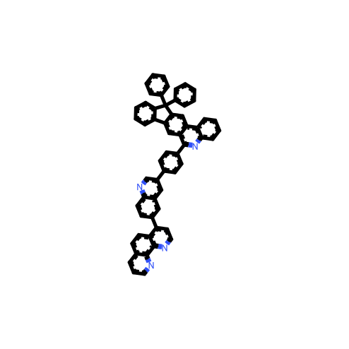 c1ccc(C2(c3ccccc3)c3ccccc3-c3cc4c(-c5ccc(-c6cnc7ccc(-c8ccnc9c8ccc8cccnc89)cc7c6)cc5)nc5ccccc5c4cc32)cc1